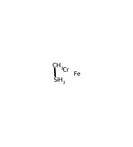 C[SiH3].[Cr].[Fe]